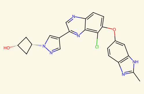 Cc1nc2ccc(Oc3ccc4ncc(-c5cnn([C@H]6C[C@@H](O)C6)c5)nc4c3Cl)cc2[nH]1